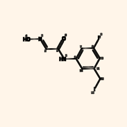 O=C(/C=N/O)Nc1cc(F)cc(CI)c1